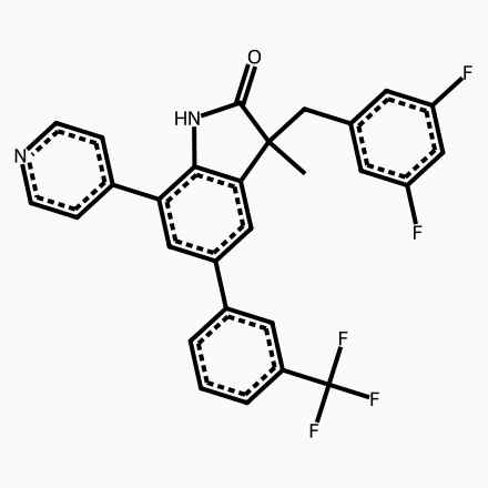 CC1(Cc2cc(F)cc(F)c2)C(=O)Nc2c(-c3ccncc3)cc(-c3cccc(C(F)(F)F)c3)cc21